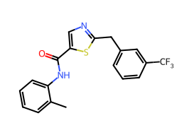 Cc1ccccc1NC(=O)c1cnc(Cc2cccc(C(F)(F)F)c2)s1